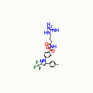 Cc1ccc(-c2cc(C(F)(F)F)nn2-c2ccc(S(=O)(=O)NC(=O)CCCNC(=N)N)cc2)cc1